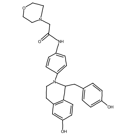 O=C(CN1CCOCC1)Nc1ccc(N2CCc3cc(O)ccc3C2Cc2ccc(O)cc2)cc1